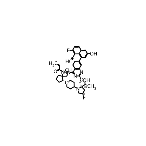 C#Cc1c(F)ccc2cc(O)cc(C3=Cc4nc(OC[C@]5([C@H](C)O)C[C@@H](F)CN5C5CCOCC5)nc(NCC5(N(C)C(=O)C=C)CCCC5)c4CC3)c12